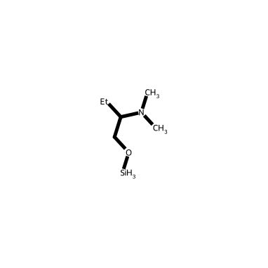 CCC(CO[SiH3])N(C)C